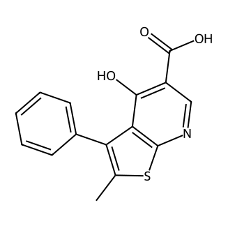 Cc1sc2ncc(C(=O)O)c(O)c2c1-c1ccccc1